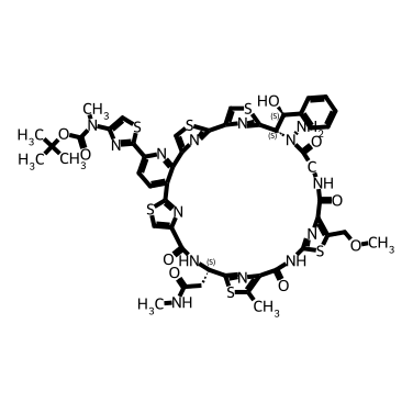 CNC(=O)C[C@@H]1NC(=O)c2csc(n2)-c2ccc(-c3nc(N(C)C(=O)OC(C)(C)C)cs3)nc2-c2csc(n2)-c2csc(n2)[C@H]([C@@H](O)c2ccccc2)N(N)C(=O)CNC(=O)c2nc(sc2COC)NC(=O)c2nc1sc2C